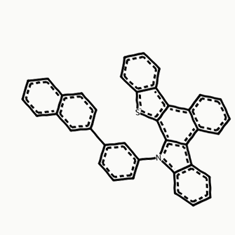 c1cc(-c2ccc3ccccc3c2)cc(-n2c3ccccc3c3c4ccccc4c4c5ccccc5sc4c32)c1